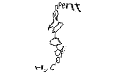 C=CCOc1ccc(-c2ccc(-c3ccc(-c4ccc(CCCCC)cn4)c(F)c3)cc2)c(F)c1F